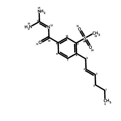 CCCC=CCc1ccc(C(=O)N=C(N)N)cc1S(C)(=O)=O